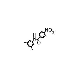 Cc1cc(C)cc(NC(=O)c2ccc([N+](=O)[O-])cc2)c1